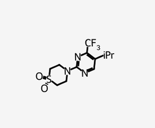 CC(C)c1cnc(N2CCS(=O)(=O)CC2)nc1C(F)(F)F